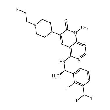 C[C@@H](Nc1ncnc2c1cc(C1CCN(CCF)CC1)c(=O)n2C)c1cccc(C(F)F)c1F